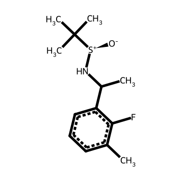 Cc1cccc(C(C)N[S@+]([O-])C(C)(C)C)c1F